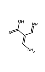 N=C/C(=C\N)C(O)=S